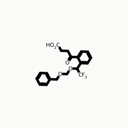 O=C(O)CCC(=O)c1ccccc1C(OCOCc1ccccc1)C(F)(F)F